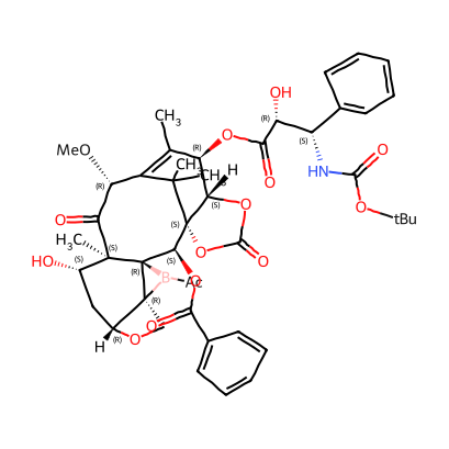 CO[C@H]1C(=O)[C@]2(C)[C@@H](O)C[C@H]3OC[C@]34B(C(C)=O)[C@@]42[C@H](OC(=O)c2ccccc2)[C@]23OC(=O)O[C@H]2[C@H](OC(=O)[C@H](O)[C@@H](NC(=O)OC(C)(C)C)c2ccccc2)C(C)=C1C3(C)C